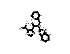 NC(=O)c1[nH]cnc1C(=O)N(Cc1ccccn1)c1nc2ccccc2[nH]1